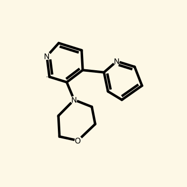 [c]1nccc(-c2ccccn2)c1N1CCOCC1